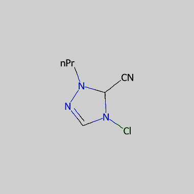 CCCN1N=CN(Cl)C1C#N